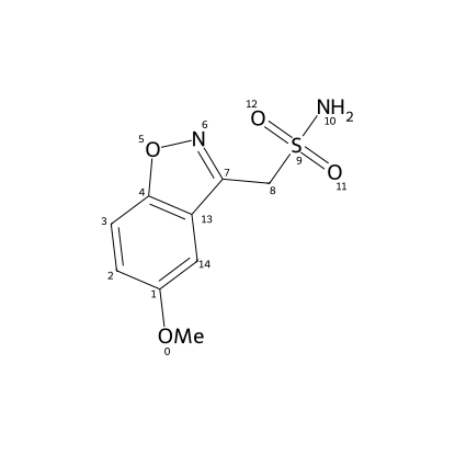 COc1ccc2onc(CS(N)(=O)=O)c2c1